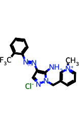 C[n+]1cccc(Cn2ncc(/N=N/c3ccccc3C(F)(F)F)c2N)c1.[Cl-]